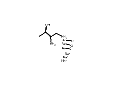 CC(=O)[O-].CC(=O)[O-].CC(=O)[O-].CC(O)C(N)CN.[Na+].[Na+].[Na+]